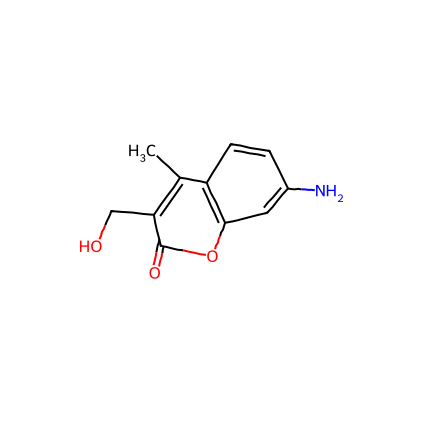 Cc1c(CO)c(=O)oc2cc(N)ccc12